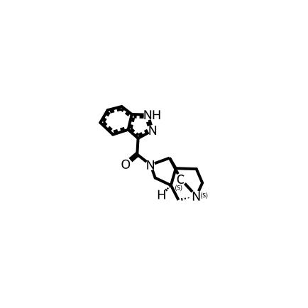 O=C(c1n[nH]c2ccccc12)N1C[C@@H]2C[N@@]3CCC2C1C3